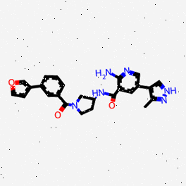 Cc1n[nH]cc1-c1cnc(N)c(C(=O)N[C@@H]2CCN(C(=O)c3cccc(-c4ccoc4)c3)C2)c1